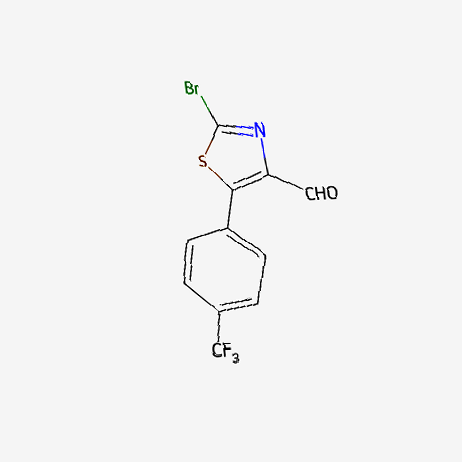 O=Cc1nc(Br)sc1-c1ccc(C(F)(F)F)cc1